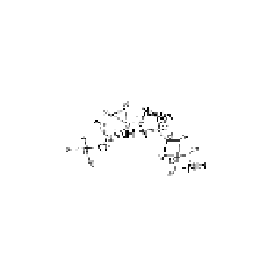 CC(C)(C)OC(=O)NC1(c2n[nH]c(C3CC4(CNC4)C3)n2)CC1